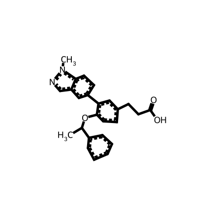 CC(Oc1ccc(CCC(=O)O)cc1-c1ccc2c(cnn2C)c1)c1ccccc1